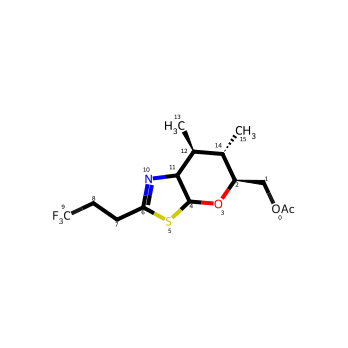 CC(=O)OC[C@H]1OC2SC(CCC(F)(F)F)=NC2[C@@H](C)[C@@H]1C